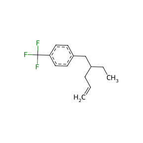 C=CCC(CC)Cc1ccc(C(F)(F)F)cc1